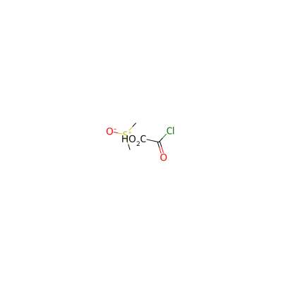 C[S+](C)[O-].O=C(O)C(=O)Cl